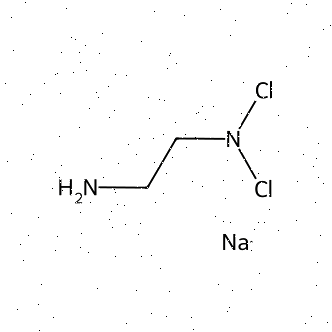 NCCN(Cl)Cl.[Na]